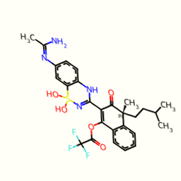 CC(N)=Nc1ccc2c(c1)S(O)(O)N=C(C1=C(OC(=O)C(F)(F)F)c3ccccc3[C@@](C)(CCC(C)C)C1=O)N2